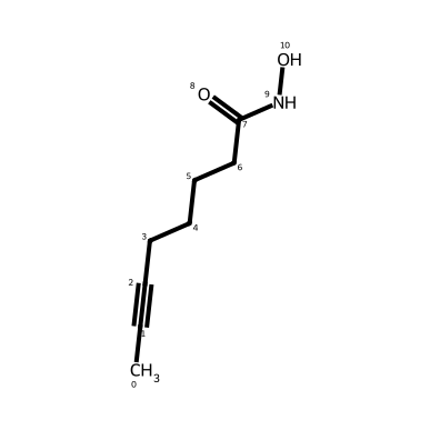 CC#CCCCCC(=O)NO